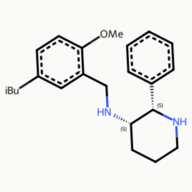 CCC(C)c1ccc(OC)c(CN[C@H]2CCCN[C@H]2c2ccccc2)c1